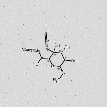 CO[C@H]1O[C@H](C(O)N=[N+]=[N-])[C@@](O)(N=[N+]=[N-])[C@H](O)[C@H]1O